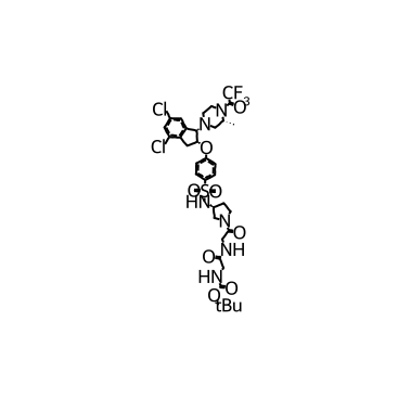 C[C@@H]1CN([C@H]2c3cc(Cl)cc(Cl)c3C[C@@H]2Oc2ccc(S(=O)(=O)N[C@H]3CCN(C(=O)CNC(=O)CNC(=O)OC(C)(C)C)C3)cc2)CCN1C(=O)C(F)(F)F